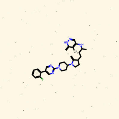 C=C1NN=CC(NC(C)CCC2CCN(C3CCN(c4ncc(-c5ccccc5F)cn4)CC3)C2=C)=C1C(F)(F)F